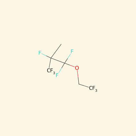 CC(F)(C(F)(F)F)C(F)(F)OCC(F)(F)F